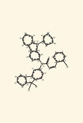 C=C(/C=C\c1ccccc1C)N(c1ccc2c(c1)-c1ccccc1C2(C)C)c1ccc2c3ccccc3n(-c3ccccc3)c2c1